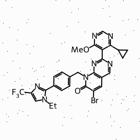 CCn1cc(C(F)(F)F)nc1-c1ccc(Cn2c(=O)c(Br)cc3cnc(-c4c(OC)ncnc4C4CC4)nc32)cc1